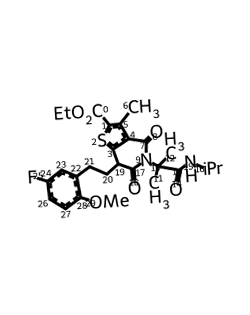 CCOC(=O)c1sc2c(c1C)C(=O)N(C(C)(C)C(=O)NC(C)C)C(=O)C2CCc1cc(F)ccc1OC